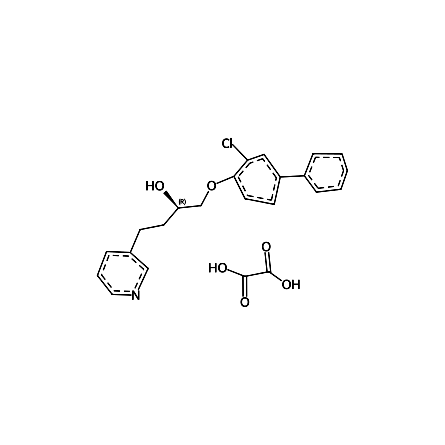 O=C(O)C(=O)O.O[C@H](CCc1cccnc1)COc1ccc(-c2ccccc2)cc1Cl